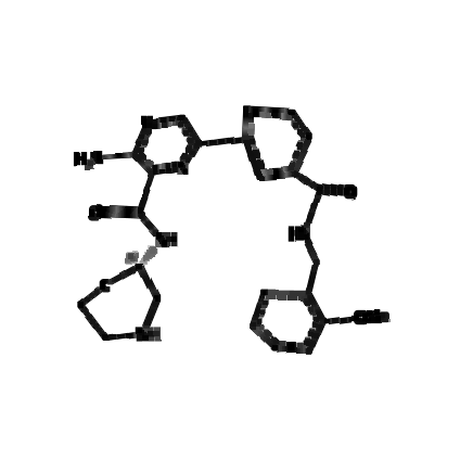 COc1ccccc1CNC(=O)c1cccc(-c2cnc(N)c(C(=O)N[C@H]3CCCNC3)n2)c1